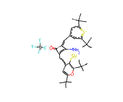 CC(C)(C)C1=CC(=CC2=C(N)C(=Cc3cc(C(C)(C)C)[s+]c(C(C)(C)C)c3)C2=O)C(S)=C(C(C)(C)C)O1.F[B-](F)(F)F